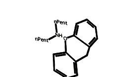 CCCCCNCCCCC.c1ccc2c(c1)Cc1ccccc1O2